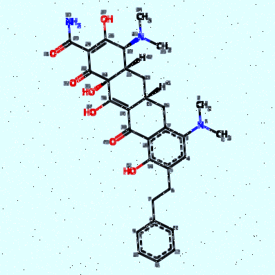 CN(C)c1cc(CCc2ccccc2)c(O)c2c1C[C@H]1C[C@H]3[C@H](N(C)C)C(O)=C(C(N)=O)C(=O)[C@@]3(O)C(O)=C1C2=O